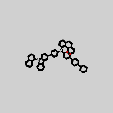 c1ccc(-c2ccc(-c3ccc(N(c4ccc(-c5ccc6c(c5)c5ccccc5n6-c5cccc6ccccc56)cc4)c4cccc5ccc6ccccc6c45)cc3)cc2)cc1